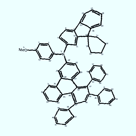 COc1ccc(N(c2ccc3c(c2)C2(CCCCC2)c2ccccc2-3)c2ccc3c(c2)c2ccccc2c2c(-c4ccccc4)cc(-c4ccccc4)c(-c4ccccc4)c32)cc1